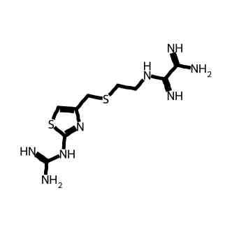 N=C(N)Nc1nc(CSCCNC(=N)C(=N)N)cs1